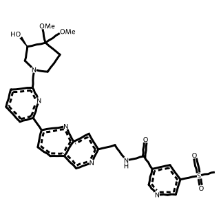 COC1(OC)CCN(c2cccc(-c3ccc4cnc(CNC(=O)c5cncc(S(C)(=O)=O)c5)cc4n3)n2)C[C@H]1O